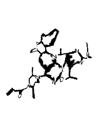 C=CC(=O)N1CC(C)N(c2nc(=O)n(-c3c(C(C)C)nc(N(C)C)nc3C(C)C)c3nc(-c4ccccc4F)c(Cl)cc23)CC1C